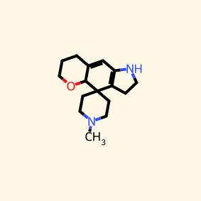 CN1CCC2(CC1)C1=C(C=C3CCCOC32)NCC1